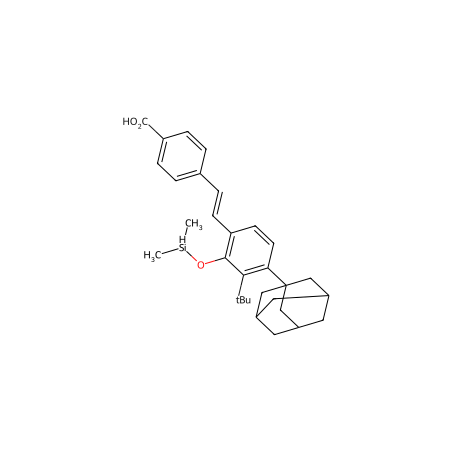 C[SiH](C)Oc1c(C=Cc2ccc(C(=O)O)cc2)ccc(C23CC4CC(CC(C4)C2)C3)c1C(C)(C)C